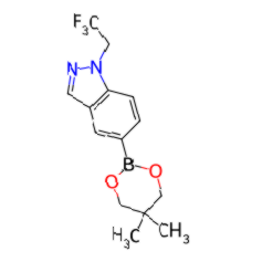 CC1(C)COB(c2ccc3c(cnn3CC(F)(F)F)c2)OC1